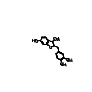 Oc1ccc2c(c1)OC(Cc1ccc(O)c(O)c1)C2O